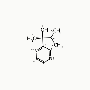 CC(C)[C@@](C)(O)c1cnccn1